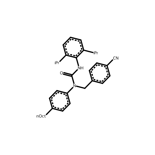 CCCCCCCCc1ccc(N(Cc2ccc(C#N)cc2)C(=O)Nc2c(C(C)C)cccc2C(C)C)cc1